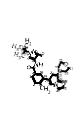 Cc1ccc(C(=O)Nc2cn(C(C)(C)C)nc2F)cc1-c1cc(N2CCOCC2)c2nccn2c1